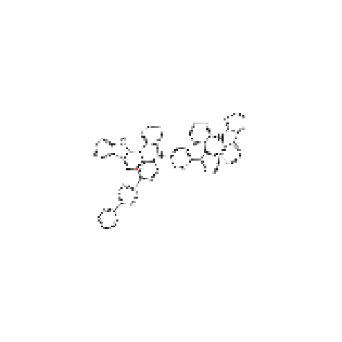 c1ccc(-c2ccc(-c3ccc(N(c4ccc(-c5ccccc5-c5ccccc5-n5c6ccccc6c6ccccc65)cc4)c4ccccc4-c4cccc5c4oc4ccccc45)cc3)cc2)cc1